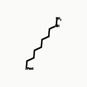 CCCCCCCCCCCCNN